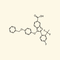 CC(F)(F)c1cc(F)ccc1-c1sc2cc(C(=O)O)ccc2c1Oc1ccc(OCc2ccccc2)cc1